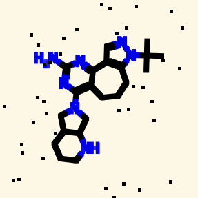 CC(C)(C)n1ncc2c1CCCc1c-2nc(N)nc1N1CC2CCCNC2C1